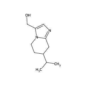 CC(C)C1CCn2c(CO)cnc2C1